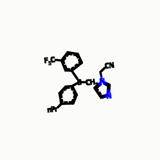 CCCc1ccc(B(C)c2cccc(C(F)(F)F)c2)cc1.N#CCn1ccnc1